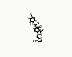 CCn1ccnc1Cn1nc(C)c2c(Cl)c(C(=O)Nc3ccc(C)cc3)cnc21